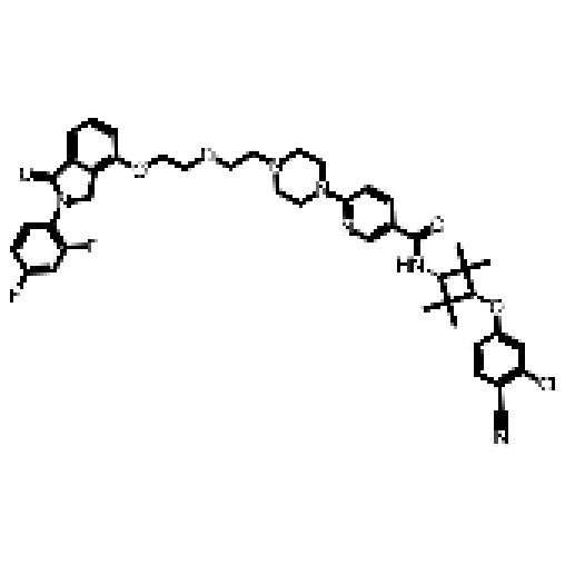 CC1(C)[C@H](NC(=O)c2ccc(N3CCN(CCOCCOc4cccc5c4CN(c4ccc(F)cc4F)C5=O)CC3)nc2)C(C)(C)[C@H]1Oc1ccc(C#N)c(Cl)c1